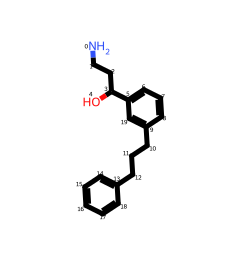 NCCC(O)c1cccc(CCCc2ccccc2)c1